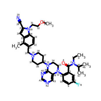 CCN(C(=O)c1cc(F)ccc1N1CCN(C2CCN(Cc3ccc4c(cc(C#N)n4CCOC)c3C)CC2)c2ncncc21)C(C)C